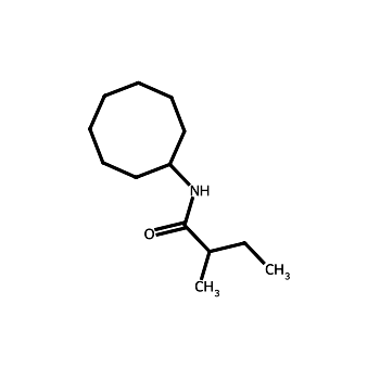 CCC(C)C(=O)NC1CCCCCCC1